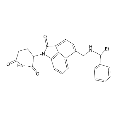 CCC(NCc1ccc2c3c(cccc13)N(C1CCC(=O)NC1=O)C2=O)c1ccccc1